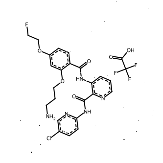 NCCCOc1cc(OCCF)ccc1C(=O)Nc1cccnc1C(=O)Nc1ccc(Cl)cn1.O=C(O)C(F)(F)F